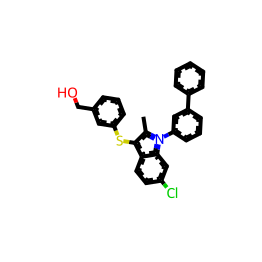 Cc1c(Sc2cccc(CO)c2)c2ccc(Cl)cc2n1-c1cccc(-c2ccccc2)c1